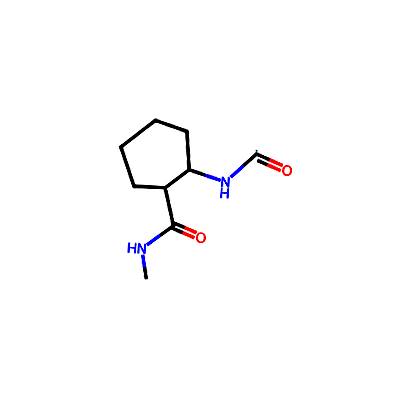 CNC(=O)C1CCCCC1N[C]=O